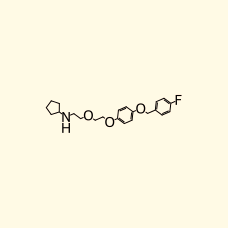 Fc1ccc(COc2ccc(OCCOCCNC3CCCC3)cc2)cc1